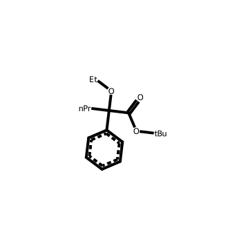 CCCC(OCC)(C(=O)OC(C)(C)C)c1ccccc1